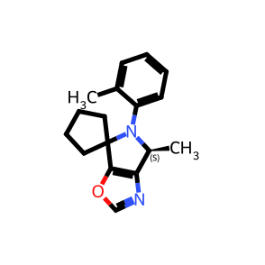 Cc1ccccc1N1[C@@H](C)c2ncoc2C12CCCC2